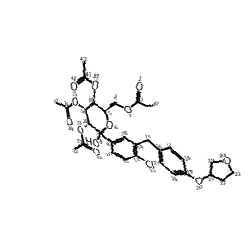 CC(=O)OC[C@H]1OC(O)(c2ccc(Cl)c(Cc3ccc(OC4CCOC4)cc3)c2)[C@H](OC(C)=O)[C@@H](OC(C)=O)[C@H]1OC(C)=O